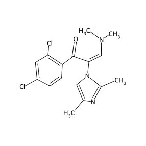 Cc1cn(C(=CN(C)C)C(=O)c2ccc(Cl)cc2Cl)c(C)n1